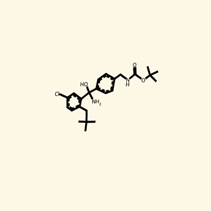 CC(C)(C)Cc1ccc(Cl)cc1C(N)(O)c1ccc(CNC(=O)OC(C)(C)C)cc1